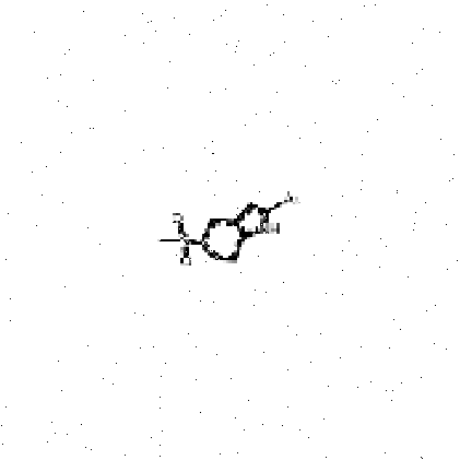 CC(=O)c1cc2cc(S(C)(=O)=O)ccc2[nH]1